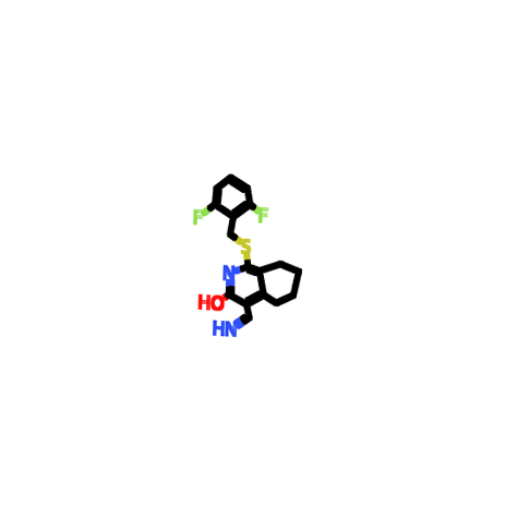 N=Cc1c(O)nc(SCc2c(F)cccc2F)c2c1CCCC2